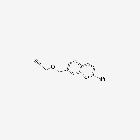 C#CCOCc1ccc2ccc(C(C)C)cc2c1